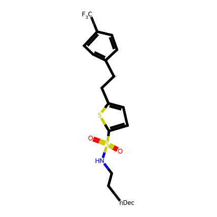 CCCCCCCCCCCCNS(=O)(=O)c1ccc(C[CH]c2ccc(C(F)(F)F)cc2)s1